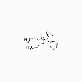 C=C[Si](CCCC)(OCCC)c1ccccc1